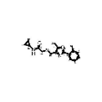 Cc1ccccc1-c1nc(CSCC(=O)NC2CC2)c(C)o1